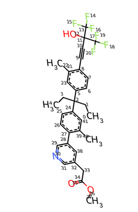 CCC(CC)(c1ccc(C#CC(O)(C(F)(F)F)C(F)(F)F)c(C)c1)c1ccc(-c2cncc(CC(=O)OC)c2)c(C)c1